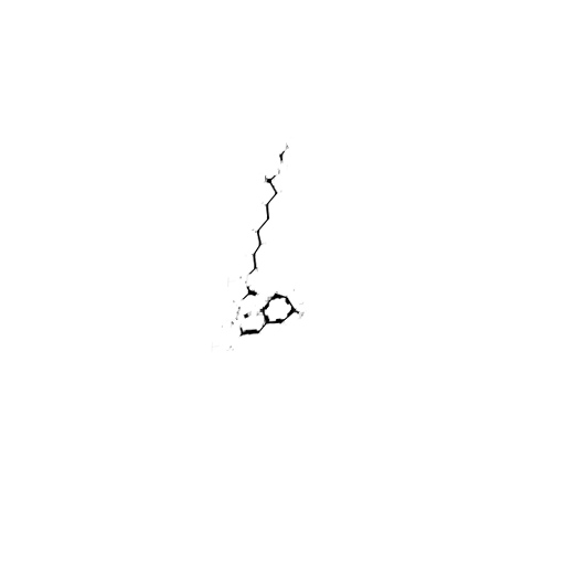 CCOC(=O)CCCCCCCNC(=O)NS(=O)(=O)C(C)=Cc1cccc(Cl)c1